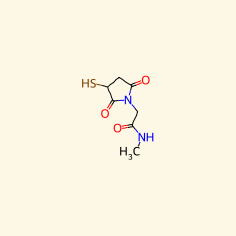 CNC(=O)CN1C(=O)CC(S)C1=O